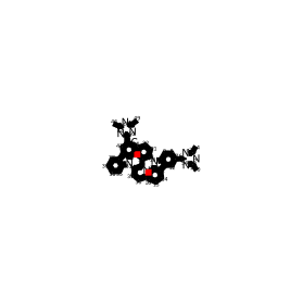 Cc1nc(C)nc(-c2ccc3c(c2)c2ccccc2n3-c2ccc(C#N)cc2-c2ncccc2-n2c3ccccc3c3cc(-c4nc(C)nc(C)n4)ccc32)n1